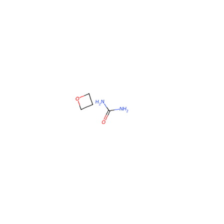 C1COC1.NC(N)=O